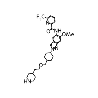 COc1cc2nn(C3CCC(COCCC4CCNCC4)CC3)cc2cc1NC(=O)c1cccc(C(F)(F)F)n1